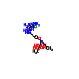 CCCCCCN(CCOc1ccc(CCCCNC(=N)NC(=O)c2nc(Cl)c(N)nc2N)cc1)C[C@H](O)[C@@H](O)[C@H](O)[C@H](O)CC